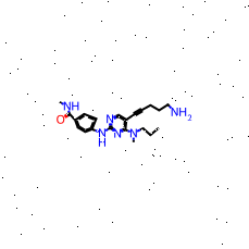 CCCN(C)c1nc(Nc2ccc(C(=O)NC)cc2)ncc1C#CCCCN